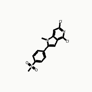 Cn1c(-c2ccc(S(C)(=O)=O)cc2)cc2c(Cl)nc(Cl)cc21